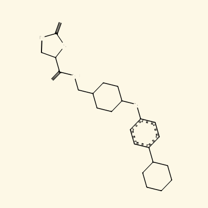 O=C1NCC(C(=O)NCC2CCC(Nc3ccc(C4CCCCC4)cc3)CC2)N1